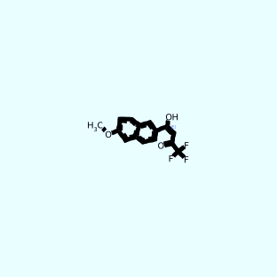 COc1ccc2cc(/C(O)=C\C(=O)C(F)(F)F)ccc2c1